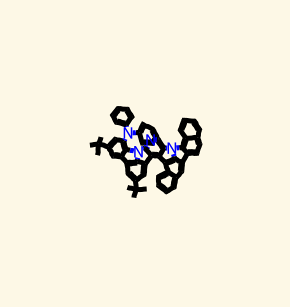 CC(C)(C)c1cc(N(c2ccccc2)c2ccccc2)c2c(c1)c1cc(C(C)(C)C)cc3c4c5c6c7ccccc7cc7c8ccc9ccccc9c8n(c5cnc4n2c13)c76